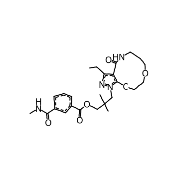 CCc1nn(CC(C)(C)COC(=O)c2cccc(C(=O)NC)c2)c2c1C(=O)NCCCOCCC2